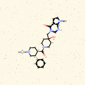 CCn1ccc2c(=O)n(CC3(O)CCN(C(=O)[C@@H]4CCN(C(=O)O)C[C@H]4c4ccccc4)CC3)cnc21